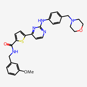 COc1cccc(CNC(=O)c2ccc(-c3ccnc(Nc4ccc(CN5CCOCC5)cc4)n3)s2)c1